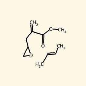 C=C(CC1CO1)C(=O)OC.CC=CC